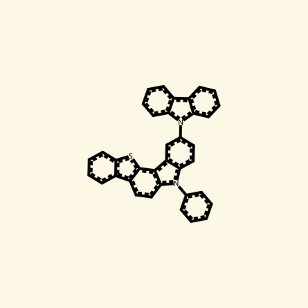 c1ccc(-n2c3ccc(-n4c5ccccc5c5ccccc54)cc3c3c4sc5ccccc5c4ccc32)cc1